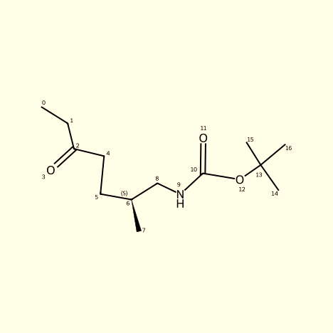 CCC(=O)CC[C@H](C)CNC(=O)OC(C)(C)C